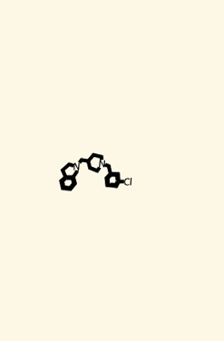 Clc1cccc(CN2CCC(CN3CCc4ccccc4C3)CC2)c1